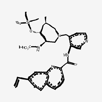 C=Cc1ccc2ccc(C(=O)Nc3cnccc3N3C[C@H](C)[C@@H](O[Si](C)(C)C(C)(C)C)[C@H](NC(=O)O)C3)nc2c1